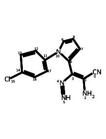 N#C/C(N)=C(/N=N)c1cccn1-c1ccc(Cl)cc1